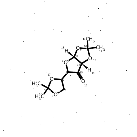 CC1(C)OCC(C2O[C@@H]3OC(C)(C)O[C@@H]3C2=O)O1